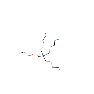 CC(=O)CCOCC(COCCC=O)(COCCC=O)COCCC=O